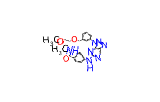 CNC(=O)c1ccc(Nc2ncc3nnn(-c4cccc(COCCOC)c4)c3n2)cc1